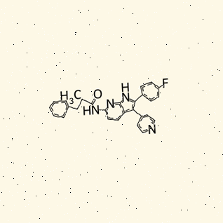 C[C@H](Cc1ccccc1)C(=O)Nc1ccc2c(-c3ccncc3)c(-c3ccc(F)cc3)[nH]c2n1